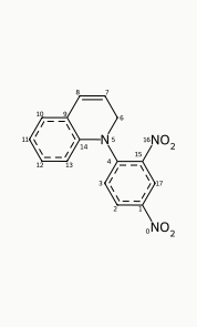 O=[N+]([O-])c1ccc(N2CC=Cc3ccccc32)c([N+](=O)[O-])c1